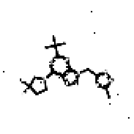 Cc1noc(Cn2nnc3c(N4CCC(F)(F)C4)nc(C(C)(C)C)nc32)n1